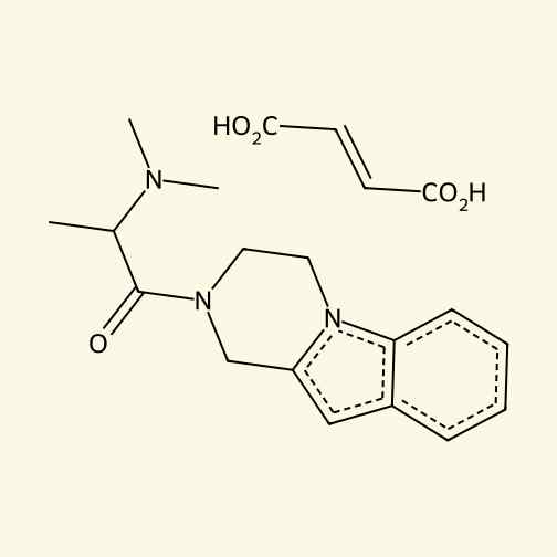 CC(C(=O)N1CCn2c(cc3ccccc32)C1)N(C)C.O=C(O)C=CC(=O)O